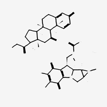 CO[C@@]12[C@H](COC(N)=O)C3=C(C(=O)C(C)=C(N)C3=O)N1C[C@H]1[C@@H]2N1C.C[C@]12C=CC(=O)C=C1CC[C@@H]1[C@@H]2C(=O)C[C@@]2(C)[C@H]1CC[C@]2(O)C(=O)CO.[NaH]